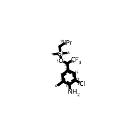 Cc1cc(C(O[Si](C)(C)CC(C)C)C(F)(F)F)cc(Cl)c1N